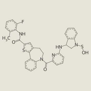 Cc1cccc(F)c1NC(=O)c1cc2c(s1)-c1ccccc1N(C(=O)c1cccc(NC3CN(SO)c4ccccc43)n1)CC2